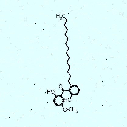 CCCCCCCCCCCCCCCc1cccc(O)c1C(=O)c1cc(OC)ccc1O